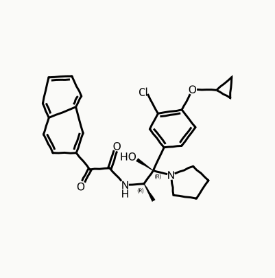 C[C@@H](NC(=O)C(=O)c1ccc2ccccc2c1)[C@](O)(c1ccc(OC2CC2)c(Cl)c1)N1CCCC1